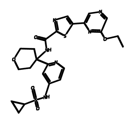 CCOc1cncc(-c2cnc(C(=O)NC3(c4cc(NS(=O)(=O)C5CC5)ccn4)CCOCC3)s2)n1